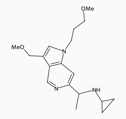 COCCCn1cc(COC)c2cnc(C(C)NC3CC3)cc21